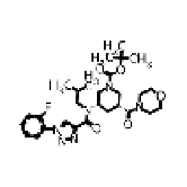 CC(C)CN(C(=O)c1cn(-c2ccccc2F)nn1)[C@H]1C[C@@H](C(=O)N2CCOCC2)CN(C(=O)OC(C)(C)C)C1